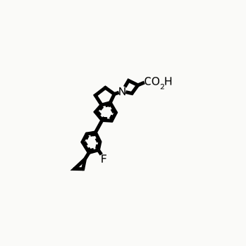 O=C(O)C1CN(C2CCc3cc(-c4ccc(C5CC5)c(F)c4)ccc32)C1